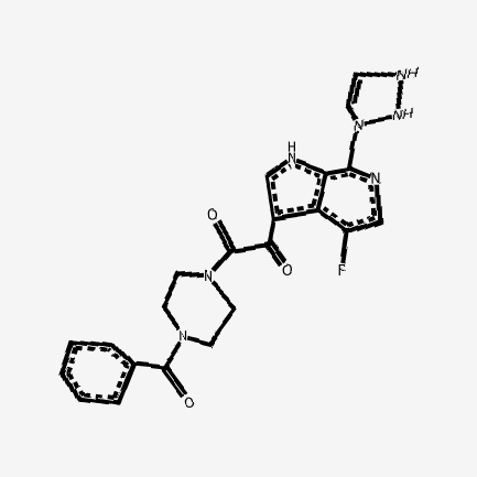 O=C(C(=O)N1CCN(C(=O)c2ccccc2)CC1)c1c[nH]c2c(N3C=CNN3)ncc(F)c12